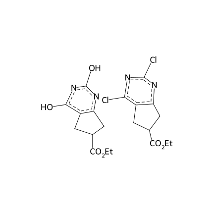 CCOC(=O)C1Cc2nc(Cl)nc(Cl)c2C1.CCOC(=O)C1Cc2nc(O)nc(O)c2C1